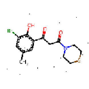 Cc1cc(Br)c(O)c(C(=O)CC(=O)N2CCSCC2)c1